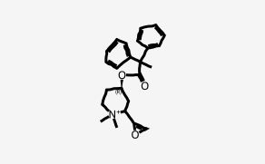 CC(C(=O)O[C@@H]1CC[N+](C)(C)C(C2=CO2)C1)(c1ccccc1)c1ccccc1